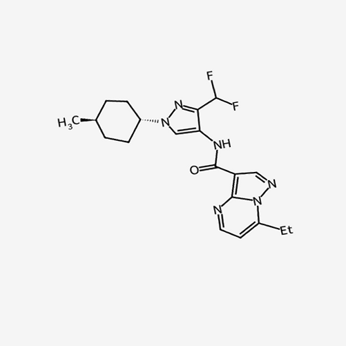 CCc1ccnc2c(C(=O)Nc3cn([C@H]4CC[C@H](C)CC4)nc3C(F)F)cnn12